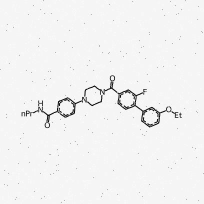 CCCNC(=O)c1ccc(N2CCN(C(=O)c3ccc(-c4cccc(OCC)c4)c(F)c3)CC2)cc1